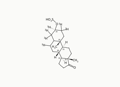 [2H]C1C[C@@H]2[C@H](CC[C@]3(C)C(=O)CC[C@@H]23)[C@@]2(C)CC([2H])([2H])[C@]([2H])(OS(=O)(=O)O)C([2H])([2H])C12